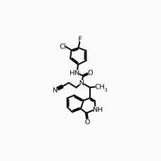 CC(c1c[nH]c(=O)c2ccccc12)N(CCC#N)C(=O)Nc1ccc(F)c(Cl)c1